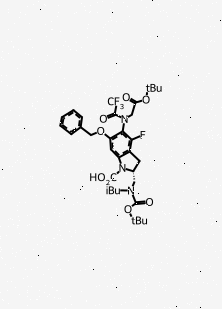 CCC(C)N(C[C@H]1Cc2c(cc(OCc3ccccc3)c(N(CC(=O)OC(C)(C)C)C(=O)C(F)(F)F)c2F)N1C(=O)O)C(=O)OC(C)(C)C